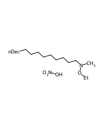 CCCCCCCCCCCCCCCCCCCN(C)OCC.O=[N+]([O-])O